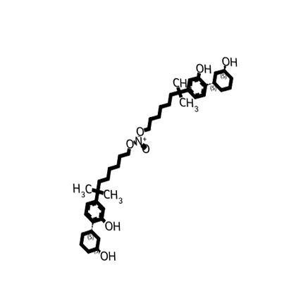 CC(C)(CCCCCCO[N+](=O)OCCCCCCC(C)(C)c1ccc([C@H]2CCC[C@H](O)C2)c(O)c1)c1ccc([C@H]2CCC[C@H](O)C2)c(O)c1